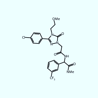 CNC(=O)C(NC(=O)Cn1nc(-c2ccc(Cl)cc2)n(CCOC)c1=O)c1cccc(C(F)(F)F)c1